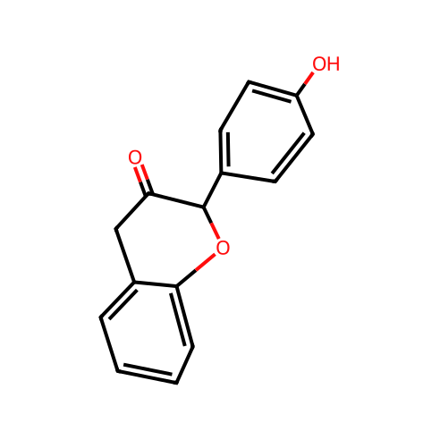 O=C1Cc2ccccc2OC1c1ccc(O)cc1